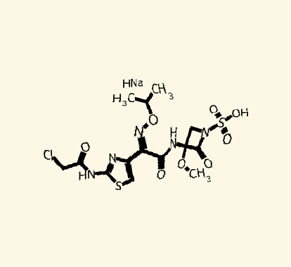 COC1(NC(=O)C(=NOC(C)C)c2csc(NC(=O)CCl)n2)CN(S(=O)(=O)O)C1=O.[NaH]